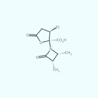 CC[C@@H]1CC(=O)O[C@]1(C(=O)O)N1C(=O)[C@@H](C)[C@H]1C